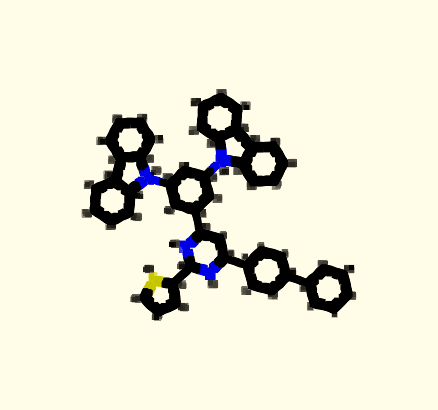 c1ccc(-c2ccc(-c3cc(-c4cc(-n5c6ccccc6c6ccccc65)cc(-n5c6ccccc6c6ccccc65)c4)nc(-c4cccs4)n3)cc2)cc1